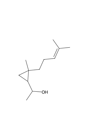 CC(C)=CCCC1(C)CC1C(C)O